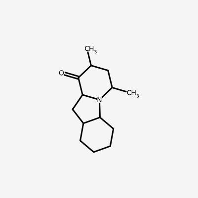 CC1CC(C)N2C(CC3CCCCC32)C1=O